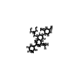 CCN(CC)Cc1cc(-c2ccc(F)cc2F)cc2c(NC)nc(-c3cccnc3)nc12